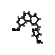 COc1ccc2ncc3c(c2c1)CC(Cn1cc(N)cn1)CO3